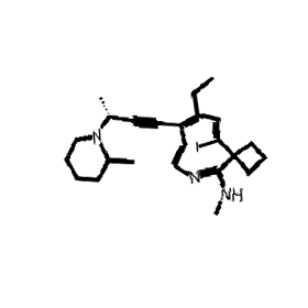 CCC1=C(C#C[C@@H](C)N2CCCCC2C)/C=C/N=C(/NC)C2(CCC2)\C(I)=C\1